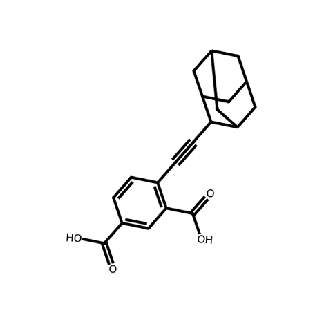 O=C(O)c1ccc(C#CC2C3CC4CC(C3)CC2C4)c(C(=O)O)c1